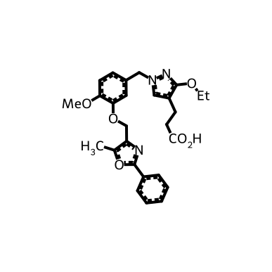 CCOc1nn(Cc2ccc(OC)c(OCc3nc(-c4ccccc4)oc3C)c2)cc1CCC(=O)O